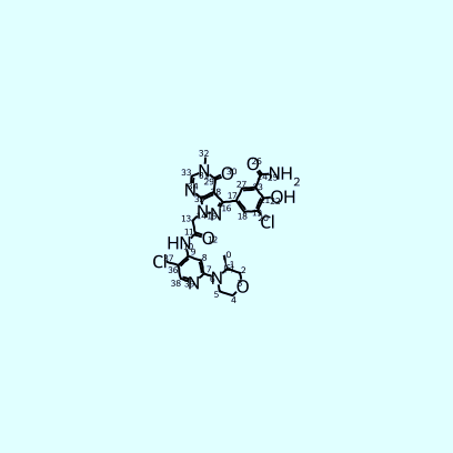 C[C@H]1COCCN1c1cc(NC(=O)Cn2nc(-c3cc(Cl)c(O)c(C(N)=O)c3)c3c(=O)n(C)cnc32)c(Cl)cn1